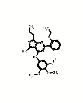 CCCc1nc(C)c2c(Nc3cc(OC)c(OC)c(OC)c3)nc(-c3ccccc3OCC)nn12